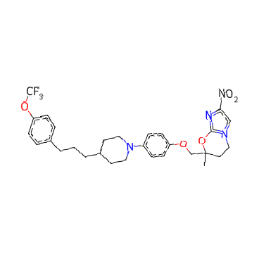 CC1(COc2ccc(N3CCC(CCCc4ccc(OC(F)(F)F)cc4)CC3)cc2)CCn2cc([N+](=O)[O-])nc2O1